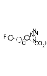 O=C(O)N1Cc2cc(C3(Cl)CCC(c4ccc(F)cc4)CC3)ccc2-n2cnnc2C1